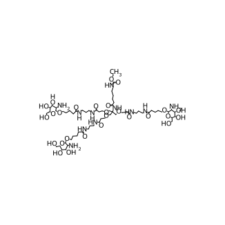 CCOC(=O)NCCCCCC(=O)NC(COCCC(=O)NCCCNC(=O)CCCCOC1OC(CO)C(O)C(O)C1N)(COCCC(=O)NCCCNC(=O)CCCCOC1OC(CO)C(O)C(O)C1N)COCCC(=O)NCCCNC(=O)CCCCOC1OC(CO)C(O)C(O)C1N